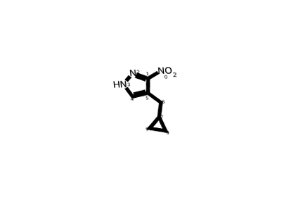 O=[N+]([O-])c1n[nH]cc1CC1CC1